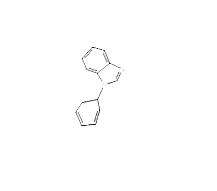 C1=CCC(n2cnc3ccccc32)C=C1